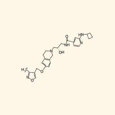 Cc1nocc1COc1ccc2c(c1)CCN(C[C@@H](O)CNC(=O)c1ccnc(NC3CCC3)c1)C2